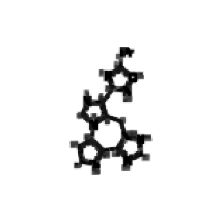 CC(C)c1nc(-c2ncn3c2Cn2ncnc2-c2sccc2-3)no1